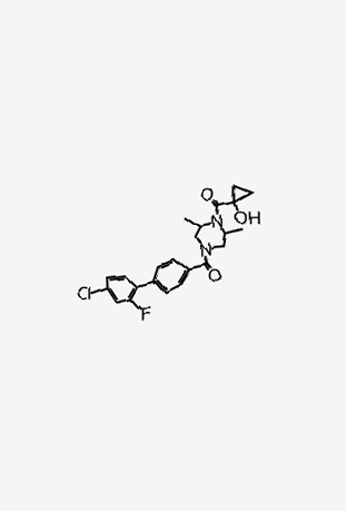 CC1CN(C(=O)c2ccc(-c3ccc(Cl)cc3F)cc2)CC(C)N1C(=O)C1(O)CC1